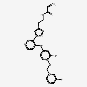 C=CC(=O)NCCc1cc(-c2cnccc2Nc2ccc(OCc3cccc(F)c3)c(Cl)c2)on1